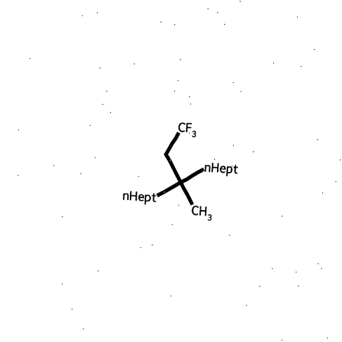 CCCCCCCC(C)(CCCCCCC)CC(F)(F)F